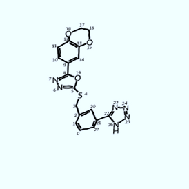 c1cc(CSc2nnc(-c3ccc4c(c3)OCCO4)o2)cc(-c2nnn[nH]2)c1